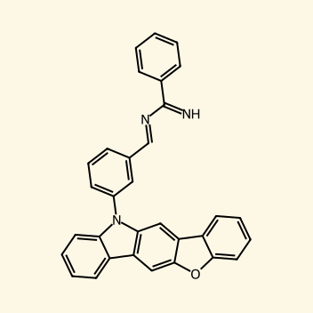 N=C(/N=C/c1cccc(-n2c3ccccc3c3cc4oc5ccccc5c4cc32)c1)c1ccccc1